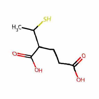 CC(S)C(CCC(=O)O)C(=O)O